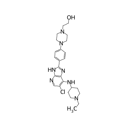 CCN1CCC(Nc2c(Cl)cnc3[nH]c(-c4ccc(N5CCN(CCO)CC5)cc4)nc23)CC1